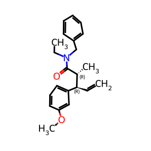 C=C[C@@H](c1cccc(OC)c1)[C@@H](C)C(=O)N(CC)Cc1ccccc1